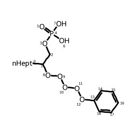 CCCCCCCC(COP(=O)(O)O)OOOOOc1ccccc1